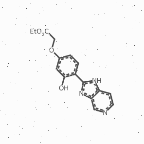 CCOC(=O)COc1ccc(-c2nc3cnccc3[nH]2)c(O)c1